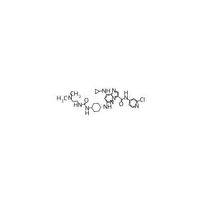 CN(C)CCNC(=O)N[C@H]1CC[C@H](Nc2cc(NC3CC3)c3ncc(C(=O)Nc4ccnc(Cl)c4)n3n2)CC1